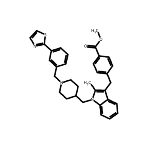 COC(=O)c1ccc(Cc2c(C)n(CC3CCN(Cc4cccc(-c5nccs5)c4)CC3)c3ccccc23)cc1